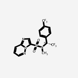 CN([C@H](c1ccc(C(F)(F)F)cc1)C(F)(F)F)S(=O)(=O)c1cnc2cccnn12